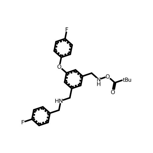 CC(C)(C)C(=O)ONCc1cc(CNCc2ccc(F)cc2)cc(Oc2ccc(F)cc2)c1